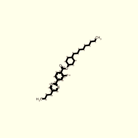 CCCCCCCCCC1CCC(OC(=O)c2ccc(-c3ncc(CCCC)cn3)cc2F)CC1